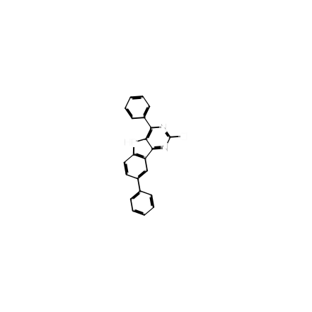 Clc1nc(-c2ccccc2)c2[pH]c3ccc(-c4ccccc4)cc3c2n1